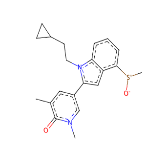 Cc1cc(-c2cc3c([S+](C)[O-])cccc3n2CCC2CC2)cn(C)c1=O